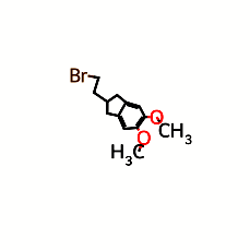 COc1cc2c(cc1OC)CC(CCBr)C2